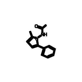 CC(=O)Nn1c(C)ccc1-c1ccccc1